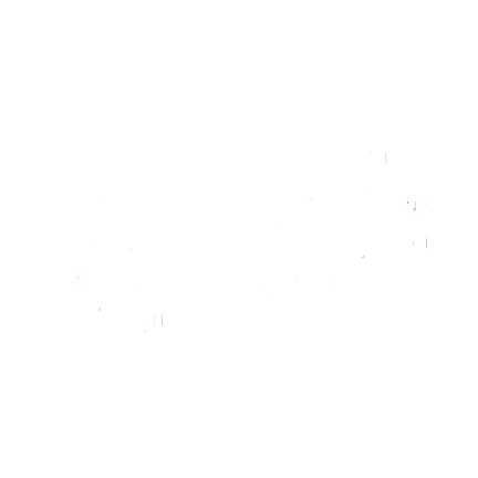 CCC1(CC)OCC(C)(c2csc(Sc3ccc(/C(C)=N\O)cc3)c2)O1